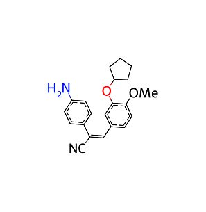 COc1ccc(C=C(C#N)c2ccc(N)cc2)cc1OC1CCCC1